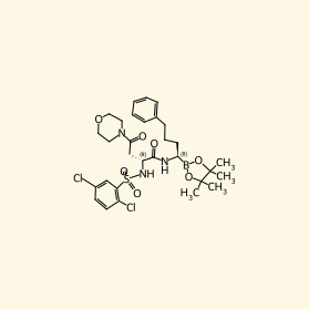 CC1(C)OB([C@H](CCCc2ccccc2)NC(=O)[C@@H](CC(=O)N2CCOCC2)NS(=O)(=O)c2cc(Cl)ccc2Cl)OC1(C)C